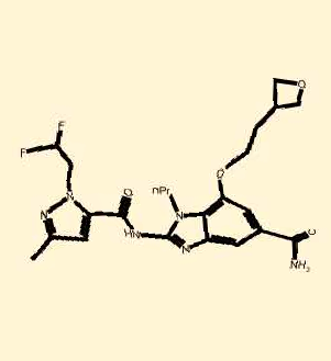 CCCn1c(NC(=O)c2cc(C)nn2CC(F)F)nc2cc(C(N)=O)cc(OCCC3COC3)c21